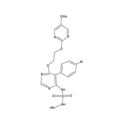 CCCCNS(=O)(=O)Nc1ncnc(OCCOc2ncc(OC)cn2)c1-c1ccc(Br)cc1